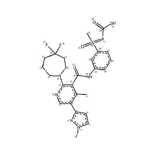 Cc1c(-c2ccn(C)n2)cnc(N2CCCC(F)(F)CC2)c1C(=O)Nc1cccc(S(C)(=O)=NC(=O)O)c1